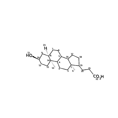 C[C@]12CCC3C(CC[C@@H]4C[C@H](O)CC[C@]34C)C1CCC2CCC(=O)O